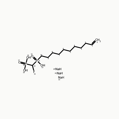 C=CCCCCCCCCCP(=O)(O)C(F)P(=O)(O)O.[NaH].[NaH].[NaH]